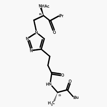 CCC(C)C(=O)[C@H](C)NC(=O)CCc1cn(C[C@@H](NC(C)=O)C(=O)C(C)C)nn1